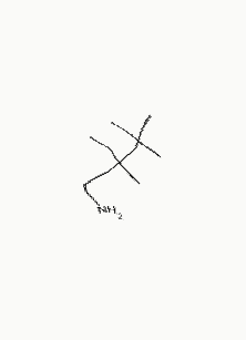 CC(C)(C)C(C)(C)CN